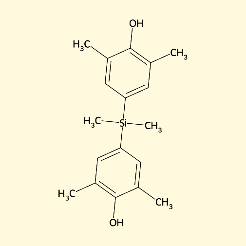 Cc1cc([Si](C)(C)c2cc(C)c(O)c(C)c2)cc(C)c1O